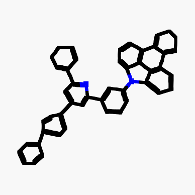 C1=CC(c2cc(-c3ccc(-c4ccccc4)cc3)cc(-c3cccc(-n4c5cccc6c7c(c8cccc4c8c65)=CCCC=7)c3)n2)=CCC1